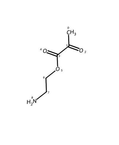 CC(=O)C(=O)OCCN